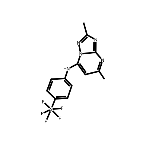 Cc1cc(Nc2ccc(S(F)(F)(F)(F)F)cc2)n2nc(C)nc2n1